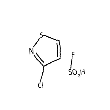 Clc1ccsn1.O=S(=O)(O)F